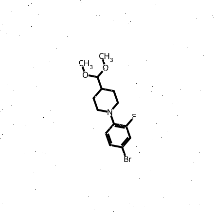 COC(OC)C1CCN(c2ccc(Br)cc2F)CC1